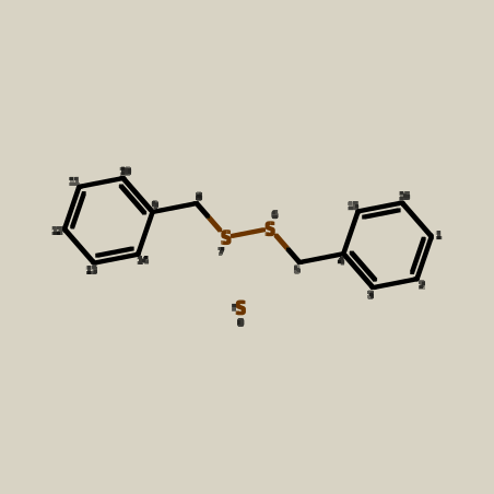 [S].c1ccc(CSSCc2ccccc2)cc1